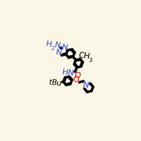 Cc1ccc(C(=O)Nc2cc(C(C)(C)C)ccc2OCCN2CCCCC2)cc1-c1ccc2nc(N)ncc2c1